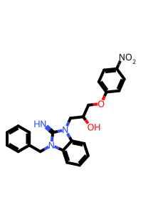 N=c1n(Cc2ccccc2)c2ccccc2n1CC(O)COc1ccc([N+](=O)[O-])cc1